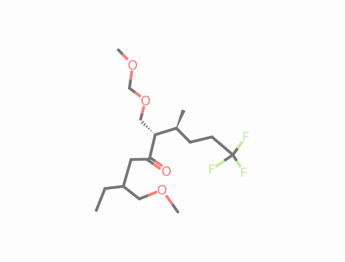 CCC(COC)CC(=O)[C@H](COCOC)[C@@H](C)CCC(F)(F)F